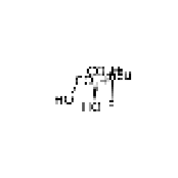 CCCCF.O=C(O)O.O=C(O)O